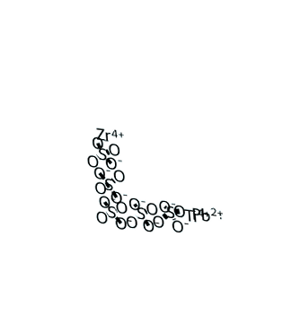 O=S(=O)([O-])[O-].O=S(=O)([O-])[O-].O=S(=O)([O-])[O-].O=S(=O)([O-])[O-].O=S(=O)([O-])[O-].[Pb+2].[Ti+4].[Zr+4]